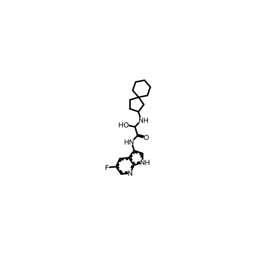 O=C(Nc1c[nH]c2ncc(F)cc12)C(O)NC1CCC2(CCCCC2)C1